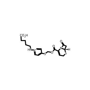 O=C(O)CCCCN[n+]1ccc(SCOC(=O)C2=CCS[C@H]3CC(=O)N23)cc1